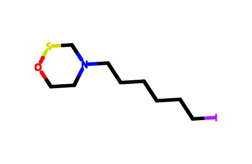 ICCCCCCN1CCOSC1